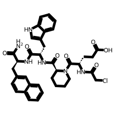 NC(=O)[C@H](Cc1ccc2ccccc2c1)NC(=O)[C@H](Cc1c[nH]c2ccccc12)NC(=O)[C@@H]1CCCCN1C(=O)[C@H](CCC(=O)O)NC(=O)CCl